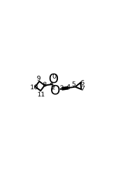 O=C(OC#CC1CC1)C1CCC1